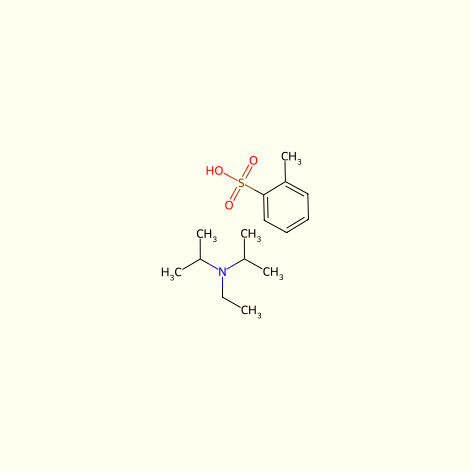 CCN(C(C)C)C(C)C.Cc1ccccc1S(=O)(=O)O